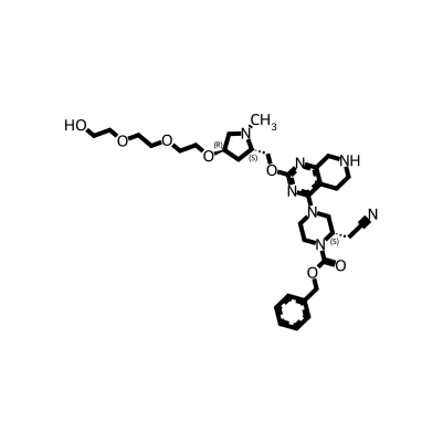 CN1C[C@H](OCCOCCOCCO)C[C@H]1COc1nc2c(c(N3CCN(C(=O)OCc4ccccc4)[C@@H](CC#N)C3)n1)CCNC2